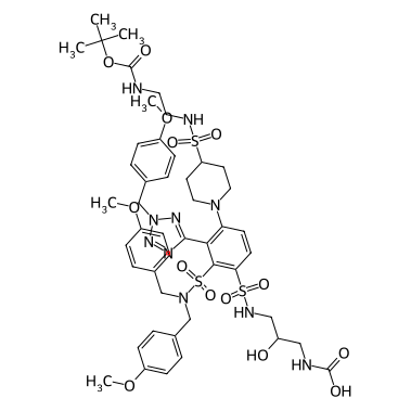 COc1ccc(CN(Cc2ccc(OC)cc2)S(=O)(=O)c2c(S(=O)(=O)NCC(O)CNC(=O)O)ccc(N3CCC(S(=O)(=O)NCCNC(=O)OC(C)(C)C)CC3)c2-c2nnn(Cc3ccc(OC)cc3)n2)cc1